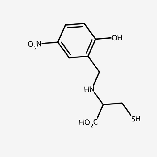 O=C(O)C(CS)NCc1cc([N+](=O)[O-])ccc1O